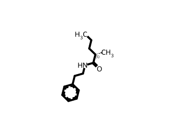 CCC[C@H](C)C(=O)NCCc1ccccc1